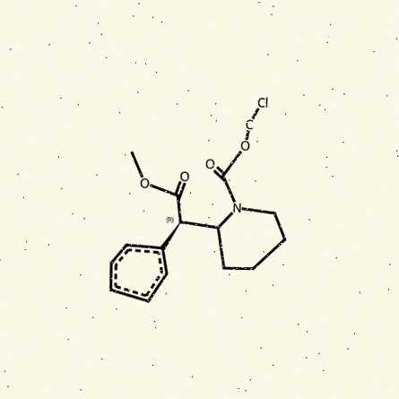 COC(=O)[C@H](c1ccccc1)C1CCCCN1C(=O)OCCl